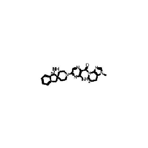 Cn1cnc2c1CCCN2C(=O)c1ncc(N2CCC3(CC2)Cc2ccccc2[C@H]3N)nc1N